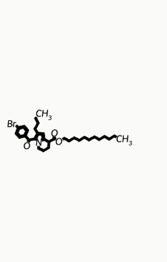 CCCCCCCCCCCCOC(=O)C1CCCn2c1cc(CCCC)c2C(=O)c1ccc(Br)cc1